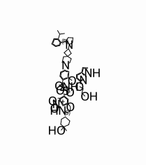 CC(C)c1ccccc1[C@H]1CCCN1C1CC2(CCN(c3ccc(C(=O)NS(=O)(=O)c4cc5c(c([N+](=O)[O-])c4)N[C@@H](C4CCC(C)(O)CC4)CO5)c(Oc4cc5cc[nH]c5nc4OCCO)c3)CC2)C1